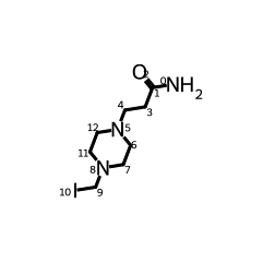 NC(=O)CCN1CCN(CI)CC1